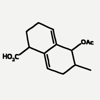 CC(=O)OC1C2=CCCC(C(=O)O)C2=CCC1C